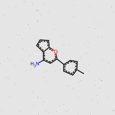 Cc1ccc(-c2cc(N)c3c[c]cc-3o2)cc1